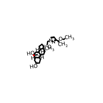 C=C(OCC)c1ccn(CC(=O)[C@H]2CC[C@H]3[C@@H]4CC[C@H]5C[C@H](O)CC[C@]5(CCO)[C@H]4CC[C@]23C)n1